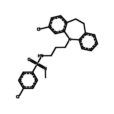 CN=S(=O)(NCCCN1c2ccccc2CCc2ccc(Cl)cc21)c1ccc(Cl)cc1